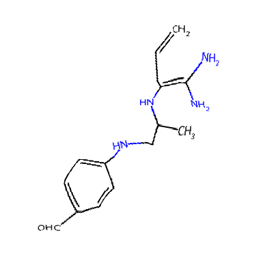 C=CC(NC(C)CNc1ccc(C=O)cc1)=C(N)N